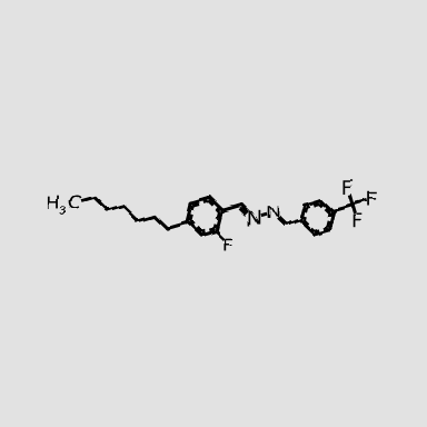 CCCCCCCc1ccc(C=NN=Cc2ccc(C(F)(F)F)cc2)c(F)c1